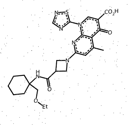 CCOCC1(NC(=O)C2CN(c3cc(C)c4c(=O)c(C(=O)O)cn(-c5ncns5)c4n3)C2)CCCCC1